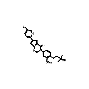 COc1cc(-n2cnn3cc(-c4ncc(Cl)cn4)cc3c2=O)ccc1OCC(C)(C)O